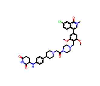 COc1cc(-c2cn(C)c(=O)c3cc(Cl)ccc23)cc(OC)c1CN1CCN(C(=O)CN2CCC(c3ccc(NC4CCC(=O)NC4=O)cc3)CC2)CC1